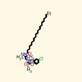 CCC=CCC=CCC=CCC=CCC=CCC=CCCC(=O)NC(C)(C)CNC(=O)C(C)(C)Oc1ccc(Cl)cc1